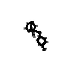 Brc1ccc(O[C@@H]2CN3CCC2CC3)cc1